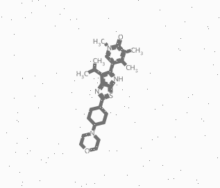 Cc1c(-c2[nH]c3sc(C4CCC(N5CCOCC5)CC4)nc3c2C(C)C)cn(C)c(=O)c1C